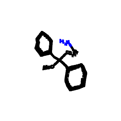 CC(C)N.COC(C(=O)O)(c1ccccc1)c1ccccc1